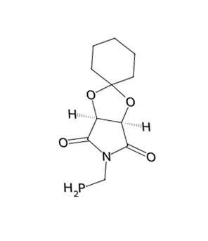 O=C1[C@H]2OC3(CCCCC3)O[C@H]2C(=O)N1CP